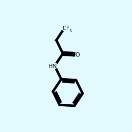 O=C([CH]C(F)(F)F)Nc1ccccc1